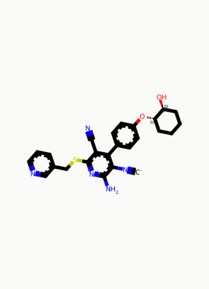 [C-]#[N+]c1c(N)nc(SCc2cccnc2)c(C#N)c1-c1ccc(O[C@H]2CCCC[C@@H]2O)cc1